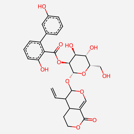 C=CC1C(O[C@H]2O[C@@H](CO)[C@@H](O)[C@H](O)[C@@H]2OC(=O)c2c(O)cccc2-c2cccc(O)c2)OC=C2C(=O)OCCC21